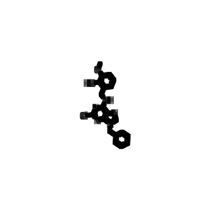 COc1cccc(CNc2nc(Cl)nc3c2ncn3Cc2ccccc2)c1O